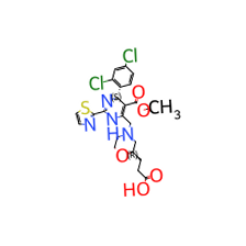 COC(=O)C1=C(CN2CCO[C@H](CCC(=O)O)C2)NC(c2nccs2)=N[C@@H]1c1ccc(Cl)cc1Cl